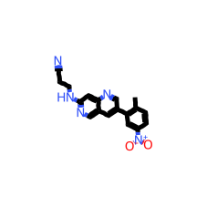 Cc1ccc([N+](=O)[O-])cc1-c1cnc2cc(NCCC#N)ncc2c1